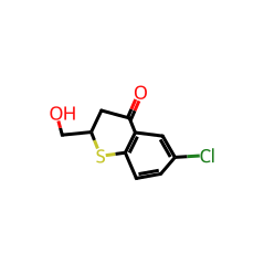 O=C1CC(CO)Sc2ccc(Cl)cc21